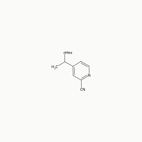 CCCCCCC(C)c1ccnc(C#N)c1